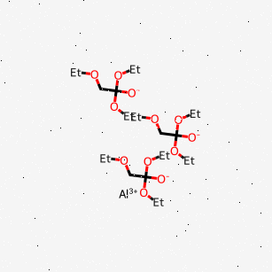 CCOCC([O-])(OCC)OCC.CCOCC([O-])(OCC)OCC.CCOCC([O-])(OCC)OCC.[Al+3]